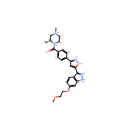 COCCOc1ccc2c(-c3cc(-c4ccc(C(=O)N5CCN(C)C[C@@H]5C)cc4)no3)n[nH]c2c1